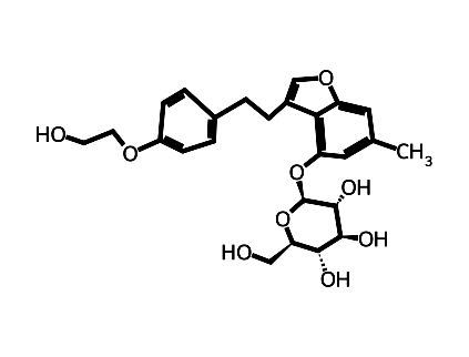 Cc1cc(O[C@@H]2O[C@H](CO)[C@@H](O)[C@H](O)[C@H]2O)c2c(CCc3ccc(OCCO)cc3)coc2c1